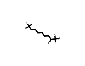 FC(CCCCCCC(F)(F)F)[C](F)(F)[K]